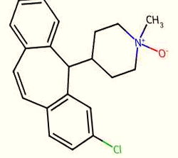 C[N+]1([O-])CCC(C2c3ccccc3C=Cc3ccc(Cl)cc32)CC1